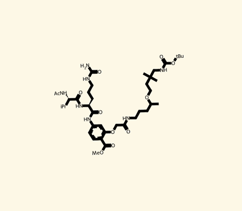 COC(=O)c1ccc(NC(=O)[C@H](CCCNC(N)=O)NC(=O)[C@@H](NC(C)=O)C(C)C)cc1OCC(=O)NCCCC(C)OCCC(C)(C)CNC(=O)OC(C)(C)C